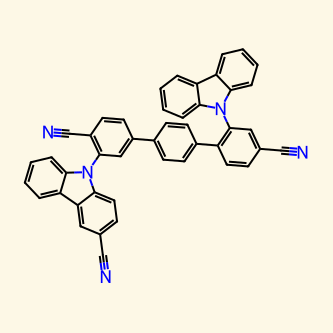 N#Cc1ccc(-c2ccc(-c3ccc(C#N)c(-n4c5ccccc5c5cc(C#N)ccc54)c3)cc2)c(-n2c3ccccc3c3ccccc32)c1